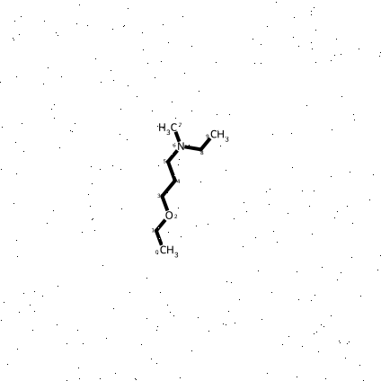 CCOCCCN(C)CC